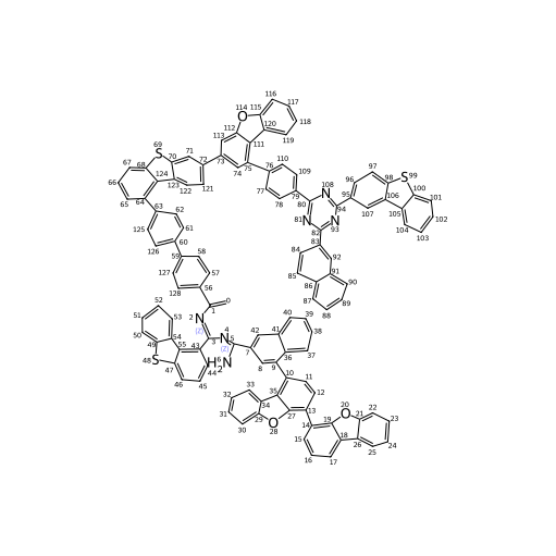 C=C(/N=C(\N=C(/N)c1cc(-c2ccc(-c3cccc4c3oc3ccccc34)c3oc4ccccc4c23)c2ccccc2c1)c1cccc2sc3ccccc3c12)c1ccc(-c2ccc(-c3cccc4sc5cc(-c6cc(-c7ccc(-c8nc(-c9ccc%10ccccc%10c9)nc(-c9ccc%10sc%11ccccc%11c%10c9)n8)cc7)c7c(c6)oc6ccccc67)ccc5c34)cc2)cc1